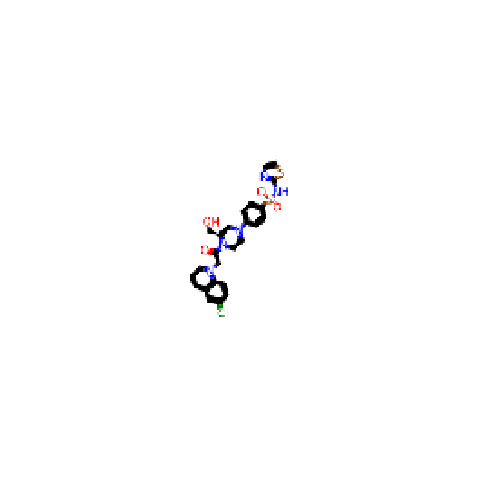 O=C(CN1CCCc2cc(Cl)ccc21)N1CCN(c2ccc(S(=O)(=O)Nc3nccs3)cc2)C[C@@H]1CO